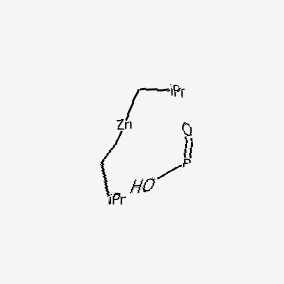 CC(C)[CH2][Zn][CH2]C(C)C.O=PO